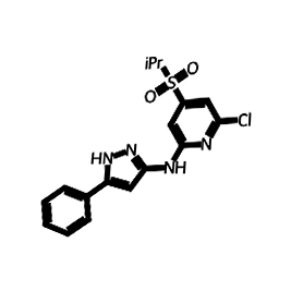 CC(C)S(=O)(=O)c1cc(Cl)nc(Nc2cc(-c3ccccc3)[nH]n2)c1